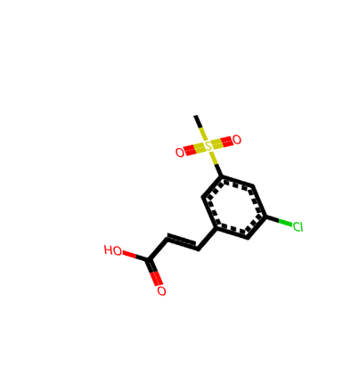 CS(=O)(=O)c1cc(Cl)cc(C=CC(=O)O)c1